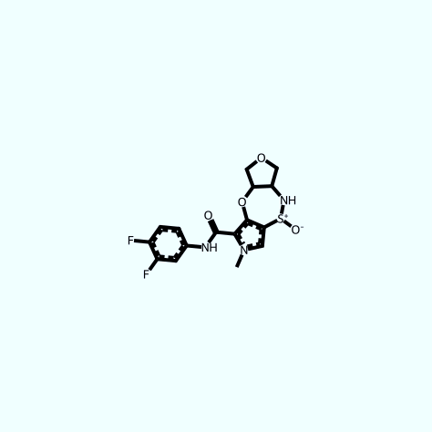 Cn1cc2c(c1C(=O)Nc1ccc(F)c(F)c1)OC1COCC1N[S+]2[O-]